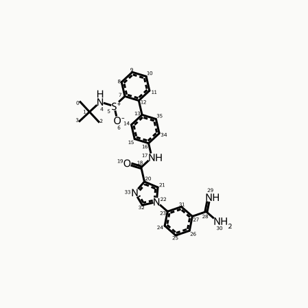 CC(C)(C)N[S+]([O-])c1ccccc1-c1ccc(NC(=O)c2cn(-c3cccc(C(=N)N)c3)cn2)cc1